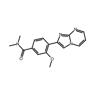 COc1cc(C(=O)N(C)C)ccc1-c1cn2cccnc2n1